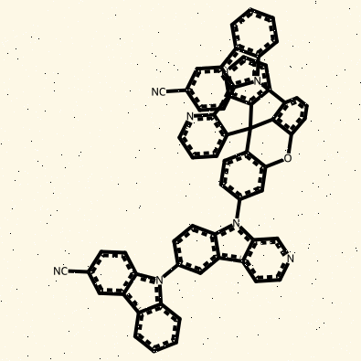 N#Cc1ccc2c(c1)c1ccccc1n2-c1ccc2c(c1)c1ccncc1n2-c1ccc2c(c1)Oc1cccc(-n3c4ccccc4c4cc(C#N)ccc43)c1C21c2cccnc2-c2ncccc21